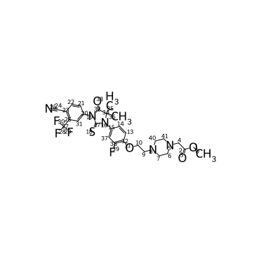 COC(=O)CN1CCN(CCOc2ccc(N3C(=S)N(c4ccc(C#N)c(C(F)(F)F)c4)C(=O)C3(C)C)cc2F)CC1